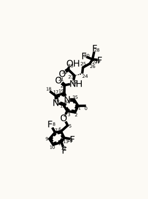 Cc1cc(OCc2c(F)ccc(F)c2F)c2nc(C)c(C(=O)N[C@@H](CCCC(F)(F)F)C(=O)O)n2c1